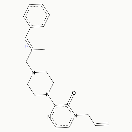 C=CCn1ccnc(N2CCN(C/C(C)=C/c3ccccc3)CC2)c1=O